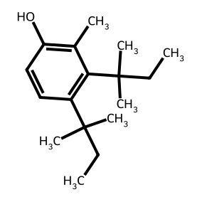 CCC(C)(C)c1ccc(O)c(C)c1C(C)(C)CC